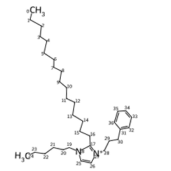 CCCCCCCCCCCCCCCCCc1n(CCCCCC)cc[n+]1CCCc1ccccc1